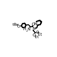 CCOC(CN(Cc1ccccn1)C(=O)[C@@H](N)Cc1ccc(OC(C)(C)C)cc1)OCC